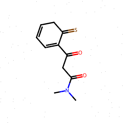 CN(C)C(=O)CC(=O)C1=CC=CCC1=S